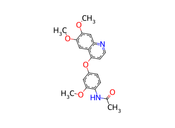 COc1cc(Oc2ccnc3cc(OC)c(OC)cc23)ccc1NC(C)=O